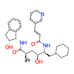 CC(C)[C@H](C[C@H](O)[C@H](CC1CCCCC1)NC(=O)C=Cc1cccnc1)C(=O)N[C@H]1c2ccccc2C[C@H]1O